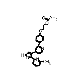 Cc1cccc(-c2n[nH]cc2-c2ccnc(-c3ccc(OCCOC(N)=O)cc3)c2)n1